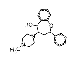 CN1CCN(C2CC(c3ccccc3)Oc3ccccc3C2O)CC1